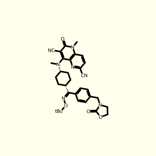 Cn1c(=O)c(C#N)c(N(C)[C@H]2CC[C@@H](/C(=N/OC(C)(C)C)c3ccc(CN4CCOC4=O)cc3)CC2)c2nc(C#N)ccc21